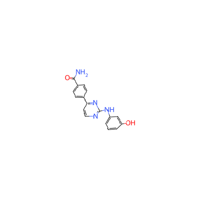 NC(=O)c1ccc(-c2ccnc(Nc3cccc(O)c3)n2)cc1